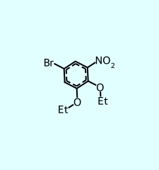 CCOc1cc(Br)cc([N+](=O)[O-])c1OCC